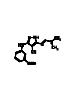 COc1cccc(Nc2n[nH]c(/N=C/N(C)C)c2C#N)c1